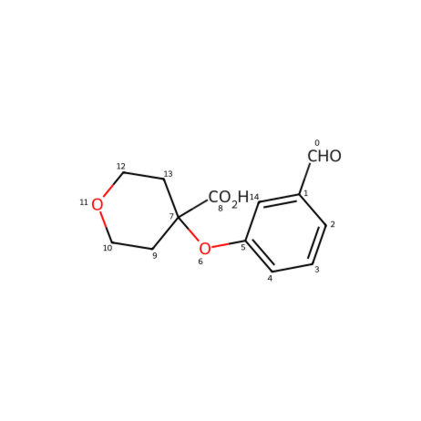 O=Cc1cccc(OC2(C(=O)O)CCOCC2)c1